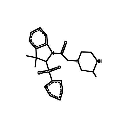 CC1CN(CC(=O)N2c3ccccc3C(C)(C)C2S(=O)(=O)c2ccccc2)CCN1